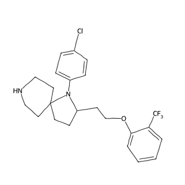 FC(F)(F)c1ccccc1OCCC1CCC2(CCNCC2)N1c1ccc(Cl)cc1